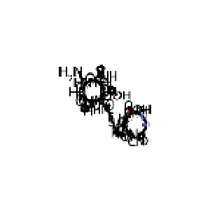 COc1cc2cc(c1Cl)N(C)C(=O)C[C@H](OC(=O)[C@H](C)N(C)C(=O)CCSSCCNC(=O)CC[C@H]1C(=O)N[C@@H](Cc3ccc(O)cc3)C(=O)N[C@H](Cc3c[nH]c4ccccc34)C(=O)N[C@@H](CCCCN)C(=O)N[C@@H]([C@@H](C)O)C(=O)N[C@@H](Cc3ccccc3)C(=O)N1C)[C@]1(C)O[C@H]1[C@H](C)[C@@H]1C[C@@](O)(NC(=O)O1)[C@H](OC)/C=C/C=C(\C)C2